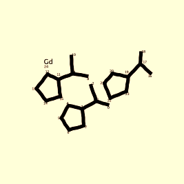 CC(C)C1CCCC1.CC(C)C1CCCC1.CC(C)C1CCCC1.[Gd]